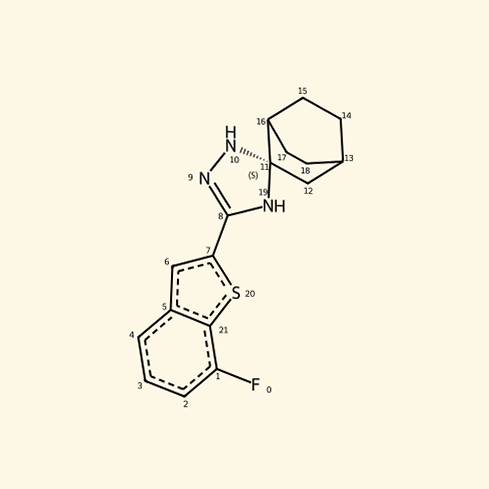 Fc1cccc2cc(C3=NN[C@]4(CC5CCC4CC5)N3)sc12